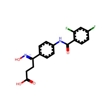 O=C(O)CC/C(=N\O)c1ccc(NC(=O)c2ccc(F)cc2F)cc1